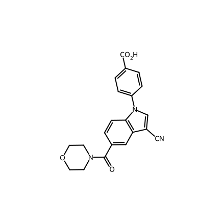 N#Cc1cn(-c2ccc(C(=O)O)cc2)c2ccc(C(=O)N3CCOCC3)cc12